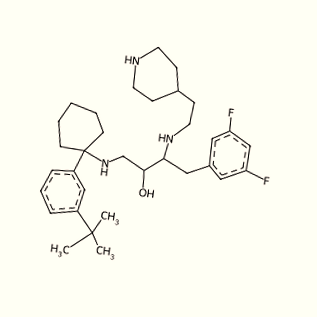 CC(C)(C)c1cccc(C2(NCC(O)C(Cc3cc(F)cc(F)c3)NCCC3CCNCC3)CCCCC2)c1